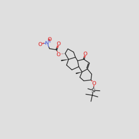 CC(C)(C)[Si](C)(C)O[C@H]1CC[C@@]2(C)C(=CC(=O)C3C2CC[C@@]2(C)C3CC[C@H]2OC(=O)C[N+](=O)[O-])C1